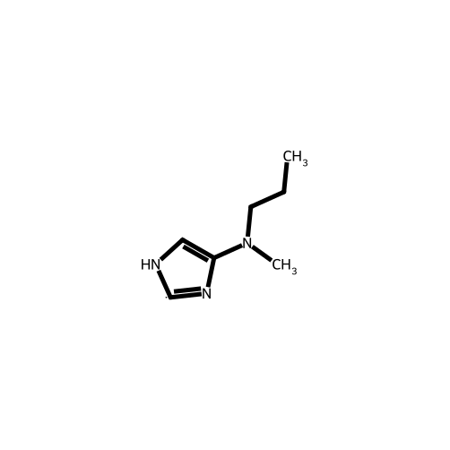 CCCN(C)c1c[nH][c]n1